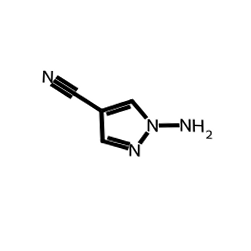 N#Cc1cnn(N)c1